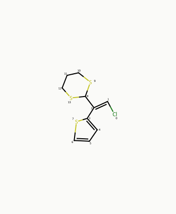 ClC=C(c1cccs1)C1SCCCS1